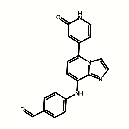 O=Cc1ccc(Nc2ccc(-c3cc[nH]c(=O)c3)n3ccnc23)cc1